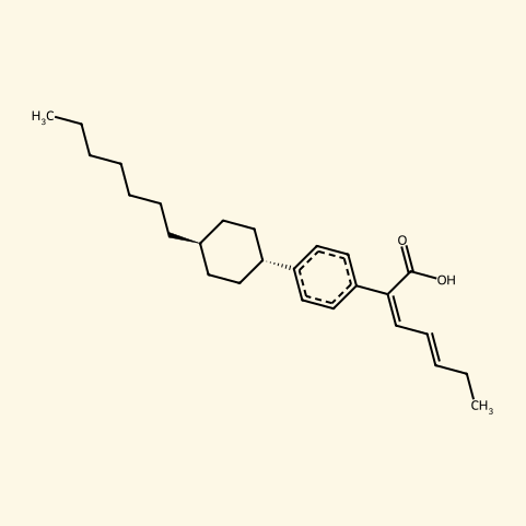 CCC=CC=C(C(=O)O)c1ccc([C@H]2CC[C@H](CCCCCCC)CC2)cc1